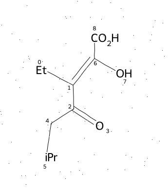 CC/C(C(=O)CC(C)C)=C(/O)C(=O)O